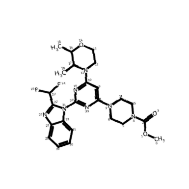 COC(=O)N1CCN(c2cc(N3CCOC(C)C3C)nc(-n3c(C(F)F)nc4ccccc43)n2)CC1